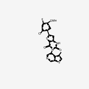 COc1cc(-c2cc3[nH]c(=O)n(-c4cncc5scc(C)c45)c(=O)c3s2)c(Cl)cc1F